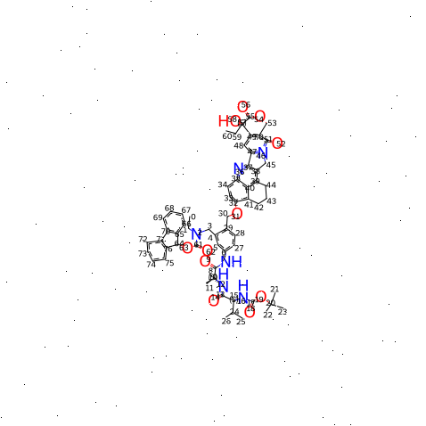 CCN(Cc1cc(NC(=O)[C@H](C)NC(=O)[C@@H](NC(=O)OC(C)(C)C)C(C)C)ccc1COc1ccc2nc3c(c4c2c1CCC4)Cn1c-3cc2c(c1=O)COC(=O)[C@]2(O)CC)C(=O)OC1c2ccccc2-c2ccccc21